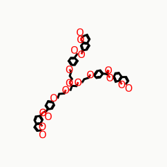 O=C(Oc1ccc2ccc(=O)oc2c1)c1ccc(OCCCOCC(COCCCOc2ccc(C(=O)Oc3ccc4ccc(=O)oc4c3)cc2)OCCCOc2ccc(C(=O)Oc3ccc4ccc(=O)oc4c3)cc2)cc1